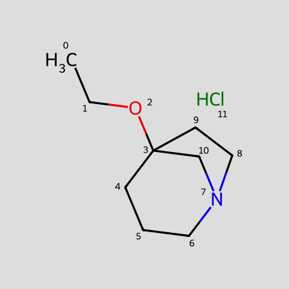 CCOC12CCCN(CC1)C2.Cl